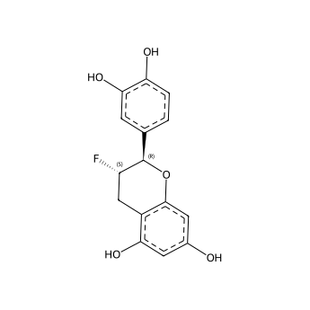 Oc1cc(O)c2c(c1)O[C@H](c1ccc(O)c(O)c1)[C@@H](F)C2